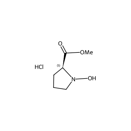 COC(=O)[C@@H]1CCCN1O.Cl